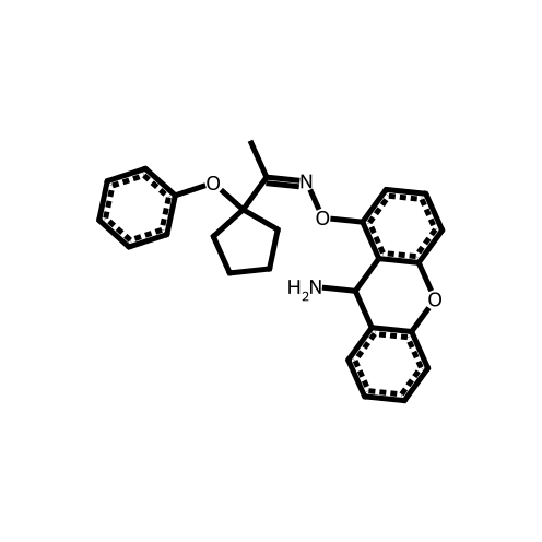 CC(=NOc1cccc2c1C(N)c1ccccc1O2)C1(Oc2ccccc2)CCCC1